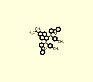 Cc1ccc(N(c2cc(N(c3ccc(C)cc3)c3cccc4c3oc3ccccc34)c3ccc4cc(C(C)C)cc5ccc2c3c54)c2cccc3c2oc2ccccc23)cc1